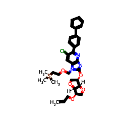 C=CCO[C@@H]1CO[C@H]2[C@@H]1OC[C@H]2Oc1nc2nc(-c3ccc(-c4ccccc4)cc3)c(Cl)cc2n1COCCS(C)(C)C